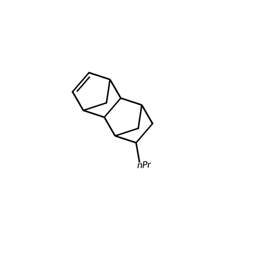 CCCC1CC2CC1C1C3C=CC(C3)C21